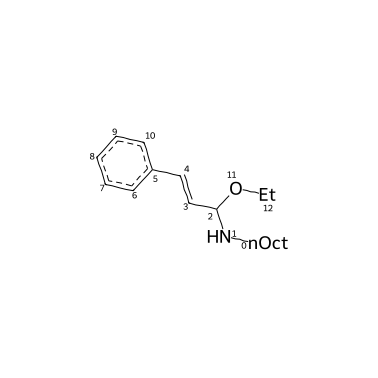 CCCCCCCCNC(C=Cc1ccccc1)OCC